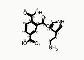 NCCc1c[nH]cn1.O=C(O)c1ccc(C(=O)O)c(C(=O)O)c1